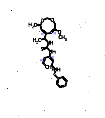 C=C1/C=C(C(C)NC(=S)NC(/C=C\C)=C/CNCc2ccccc2)\C=C(\OC)COCO1